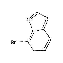 BrC1=C2N=CC=C2C=CC1